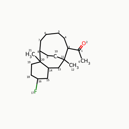 CC(=O)C1CCCCC2CCC1(C)CC1CC(F)CCC21C